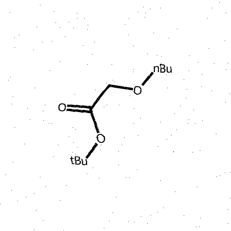 CCCCOCC(=O)OC(C)(C)C